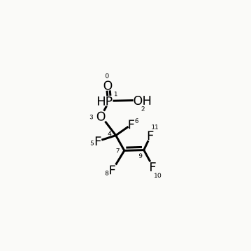 O=[PH](O)OC(F)(F)C(F)=C(F)F